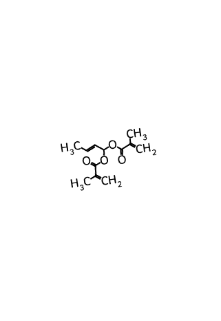 C=C(C)C(=O)OC(C=CC)OC(=O)C(=C)C